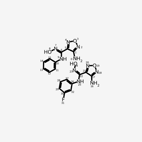 Nc1nonc1/C(=N/O)Nc1ccccc1.Nc1nonc1/C(=N\O)Nc1cccc(F)c1